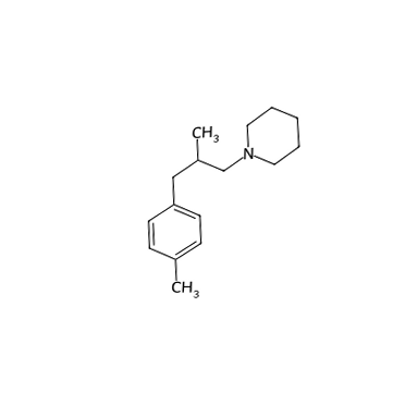 Cc1ccc(CC(C)CN2CCCCC2)cc1